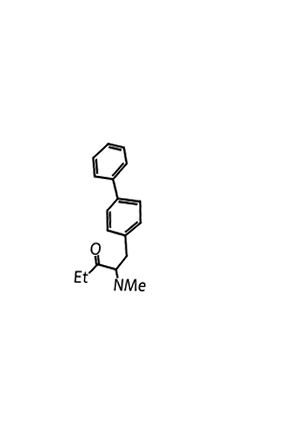 CCC(=O)C(Cc1ccc(-c2ccccc2)cc1)NC